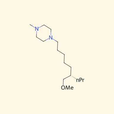 CCC[C@@H](CCCCCN1CCN(C)CC1)COC